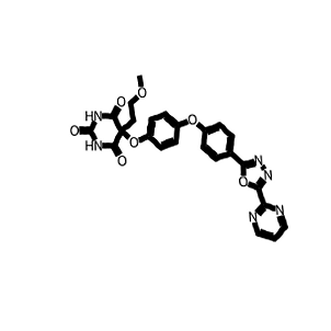 COCCC1(Oc2ccc(Oc3ccc(-c4nnc(-c5ncccn5)o4)cc3)cc2)C(=O)NC(=O)NC1=O